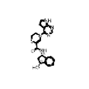 O=C(N[C@H]1C[C@H](O)c2ccccc21)C1=CN(c2ncnc3[nH]ccc23)CCS1